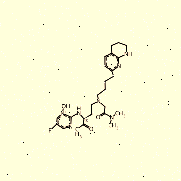 CC(=O)[C@H](CCN(CCCCc1ccc2c(n1)NCCC2)CC(=O)N(C)C)Nc1ncc(F)c[n+]1O